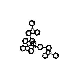 c1ccc(-n2c3ccccc3c3c(-c4ccc(N(c5ccc(-c6cccc7c6c6ccccc6n7-c6ccccc6)cc5)c5cccc6c5C5(c7ccccc7-c7ccccc75)c5ccccc5-6)cc4)cccc32)cc1